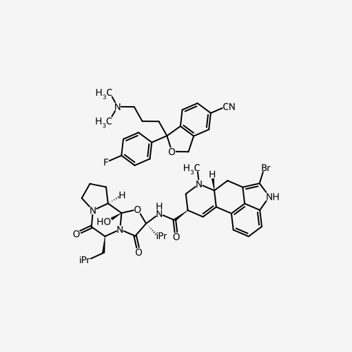 CC(C)C[C@H]1C(=O)N2CCC[C@H]2[C@]2(O)O[C@](NC(=O)[C@@H]3C=C4c5cccc6[nH]c(Br)c(c56)C[C@H]4N(C)C3)(C(C)C)C(=O)N12.CN(C)CCCC1(c2ccc(F)cc2)OCc2cc(C#N)ccc21